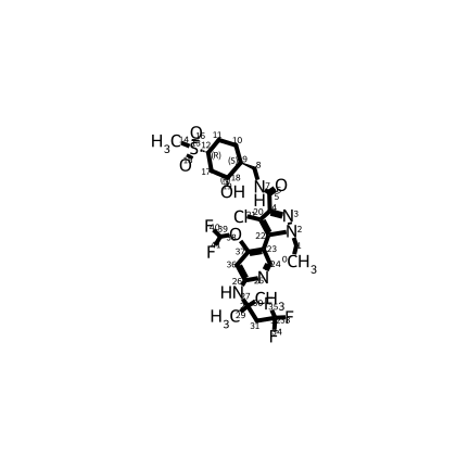 CCn1nc(C(=O)NC[C@@H]2CC[C@@H](S(C)(=O)=O)C[C@H]2O)c(Cl)c1-c1cnc(NC(C)(C)CC(F)(F)F)cc1OC(F)F